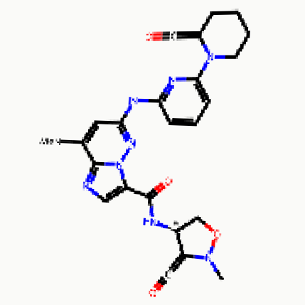 CNc1cc(Nc2cccc(N3CCCCC3=C=O)n2)nn2c(C(=O)N[C@H]3CON(C)C3=C=O)cnc12